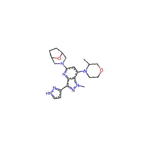 CC1COCCN1c1cc(N2CC3CCC(C2)O3)nc2c(-c3cc[nH]n3)nn(C)c12